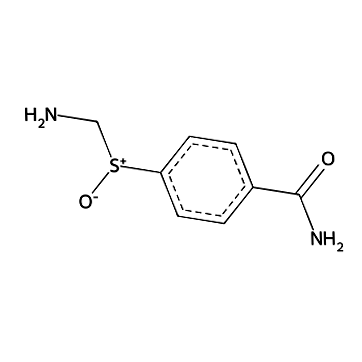 NC[S+]([O-])c1ccc(C(N)=O)cc1